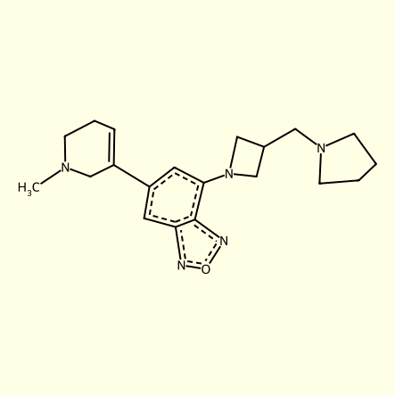 CN1CCC=C(c2cc(N3CC(CN4CCCC4)C3)c3nonc3c2)C1